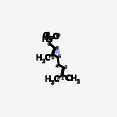 CC(C)=CCC/C(C)=C/C[SH](=O)=O